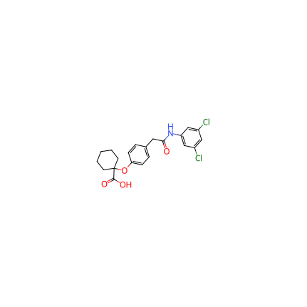 O=C(Cc1ccc(OC2(C(=O)O)CCCCC2)cc1)Nc1cc(Cl)cc(Cl)c1